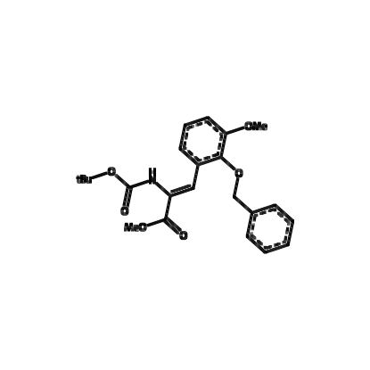 COC(=O)/C(=C/c1cccc(OC)c1OCc1ccccc1)NC(=O)OC(C)(C)C